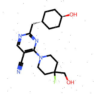 N#Cc1cnc(C[C@H]2CC[C@H](O)CC2)nc1N1CCC(F)(CO)CC1